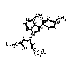 CCOC(=O)c1cc(N2C=C(c3ccc(C)cc3)C3C(N)=NC=NC32)cc(C(=O)OCC)n1